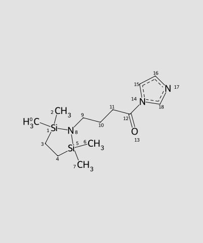 C[Si]1(C)CC[Si](C)(C)N1CCCC(=O)n1ccnc1